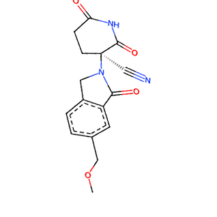 COCc1ccc2c(c1)C(=O)N([C@@]1(C#N)CCC(=O)NC1=O)C2